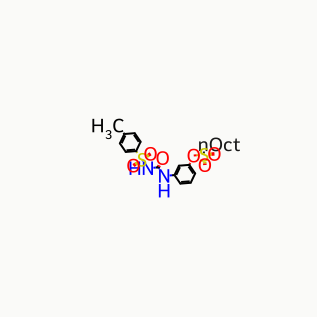 CCCCCCCCS(=O)(=O)Oc1cccc(NC(=O)NS(=O)(=O)c2ccc(C)cc2)c1